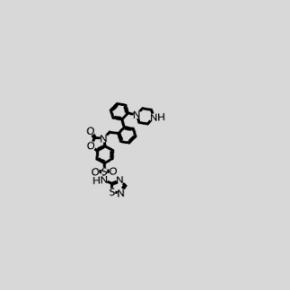 O=c1oc2cc(S(=O)(=O)Nc3ncns3)ccc2n1Cc1ccccc1-c1ccccc1N1CCNCC1